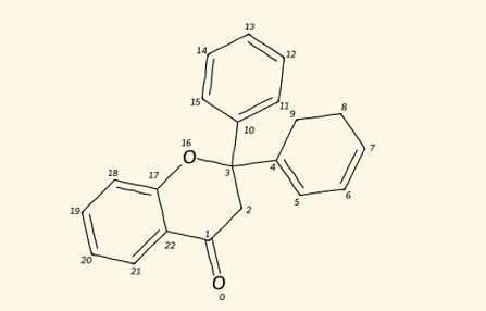 O=C1CC(C2=CC=CCC2)(c2ccccc2)Oc2ccccc21